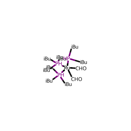 CCC(C)[PH](C(C)CC)(C(C)CC)[Ru]([CH]=O)([CH]=O)([PH](C(C)CC)(C(C)CC)C(C)CC)[PH](C(C)CC)(C(C)CC)C(C)CC